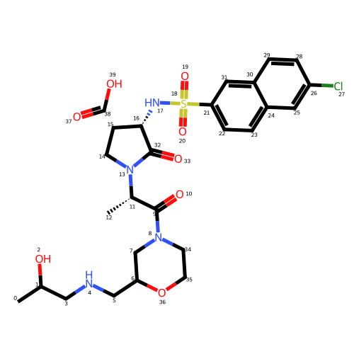 CC(O)CNCC1CN(C(=O)[C@H](C)N2CC[C@H](NS(=O)(=O)c3ccc4cc(Cl)ccc4c3)C2=O)CCO1.O=CO